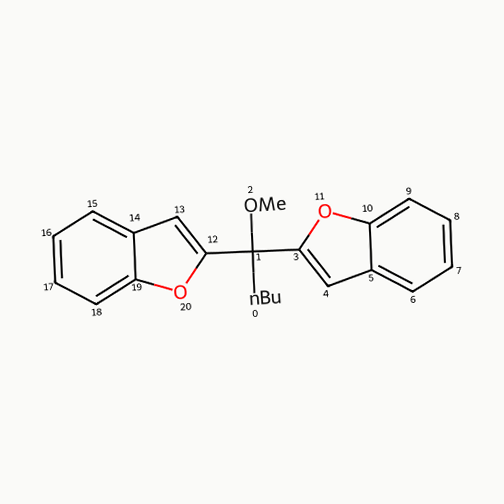 CCCCC(OC)(c1cc2ccccc2o1)c1cc2ccccc2o1